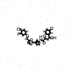 O=C(NC12CC(C1)C(c1nnc(COc3ccc(Cl)c(F)c3)o1)C2)[C@@H]1C[C@H](O)c2cc(Cl)ccc2O1